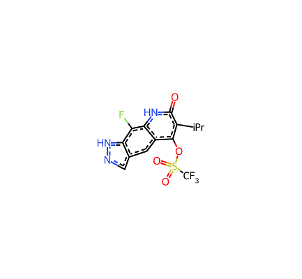 CC(C)c1c(OS(=O)(=O)C(F)(F)F)c2cc3cn[nH]c3c(F)c2[nH]c1=O